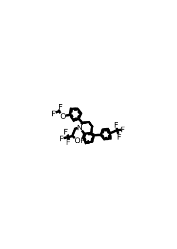 OC(CN1c2cccc(-c3ccc(C(F)(F)F)cc3)c2CCC1c1cccc(OC(F)F)c1)C(F)(F)F